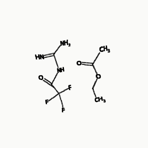 CCOC(C)=O.N=C(N)NC(=O)C(F)(F)F